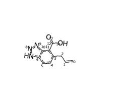 C=CCc1ccc2[nH]nnc2c1C(=O)O